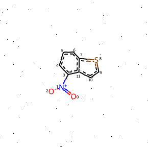 O=[N+]([O-])c1cccc2sc[c]c12